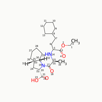 CCOC(=O)C(CCC1CCCCC1)N[C@@H](C)C(=O)N1[C@H](C(=O)O)C[C@@H]2CCCC[C@@H]21